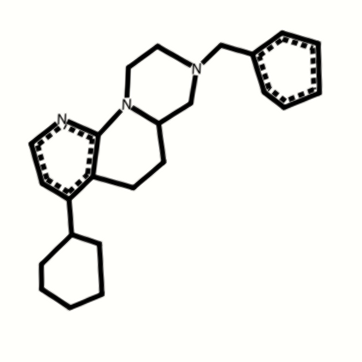 c1ccc(CN2CCN3c4nccc(C5CCCCC5)c4CCC3C2)cc1